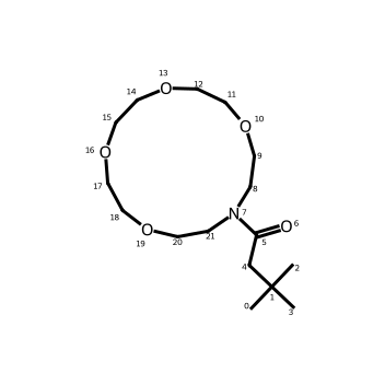 CC(C)(C)CC(=O)N1CCOCCOCCOCCOCC1